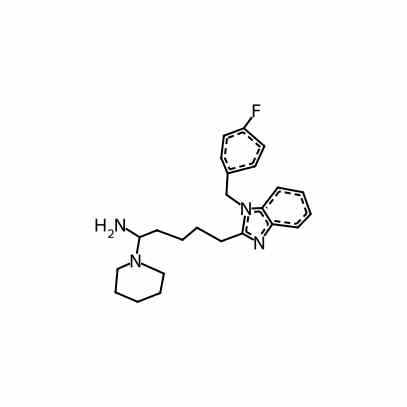 NC(CCCCc1nc2ccccc2n1Cc1ccc(F)cc1)N1CCCCC1